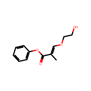 CC(=COCCO)C(=O)Oc1ccccc1